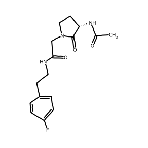 CC(=O)N[C@H]1CCN(CC(=O)NCCc2ccc(F)cc2)C1=O